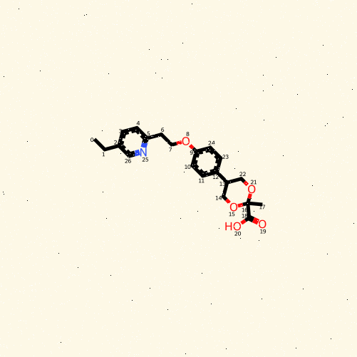 CCc1ccc(CCOc2ccc(C3COC(C)(C(=O)O)OC3)cc2)nc1